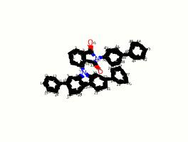 O=C1c2cccc(-n3c4cc(-c5ccccc5)ccc4c4ccc(-c5ccccc5)cc43)c2C(=O)N1c1ccc(-c2ccccc2)cc1